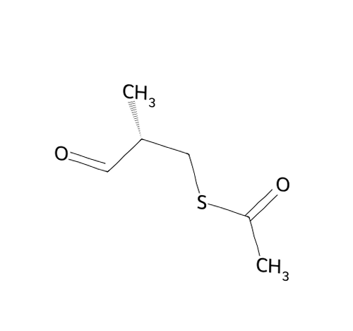 CC(=O)SC[C@@H](C)C=O